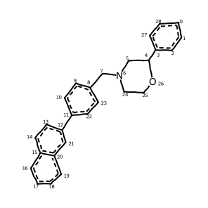 c1ccc(C2CN(Cc3ccc(-c4ccc5ccccc5c4)cc3)CCO2)cc1